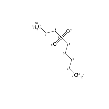 [CH2]CCCCS(=O)(=O)C[CH]C